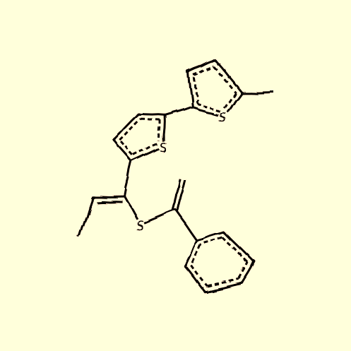 C=C(S/C(=C\C)c1ccc(-c2ccc(C)s2)s1)c1ccccc1